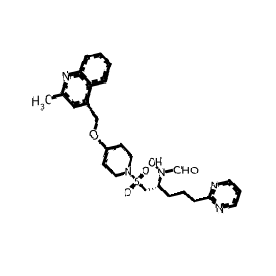 Cc1cc(COC2CCN(S(=O)(=O)C[C@@H](CCCc3ncccn3)N(O)C=O)CC2)c2ccccc2n1